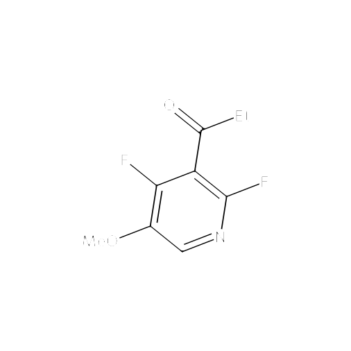 CCC(=O)c1c(F)ncc(OC)c1F